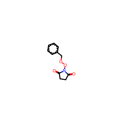 O=C1CCC(=O)N1OOCc1ccccc1